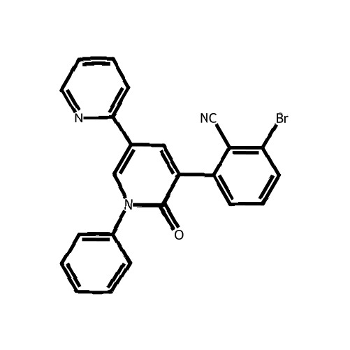 N#Cc1c(Br)cccc1-c1cc(-c2ccccn2)cn(-c2ccccc2)c1=O